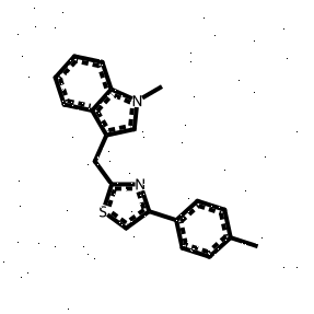 Cc1ccc(-c2csc(Cc3cn(C)c4ccccc34)n2)cc1